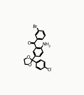 Nc1ccc(C2(c3ccc(Cl)cc3)OCCO2)cc1C(=O)c1cccc(Br)c1